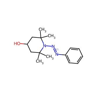 CC1(C)CC(O)CC(C)(C)N1/N=N/c1ccccc1